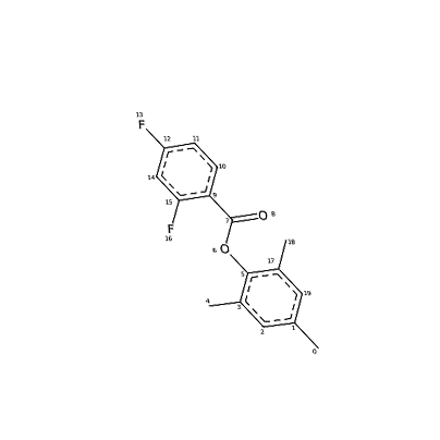 Cc1cc(C)c(OC(=O)c2ccc(F)cc2F)c(C)c1